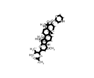 CC(=O)OC(C(C)C)C1C[C@@H](C)[C@H]2C(O1)[C@H](O)[C@@]1(C)C3CC[C@H]4C(C)(C)[C@@H](O[C@H]5CNCCO5)CC[C@@]45C[C@@]35CC[C@]21C